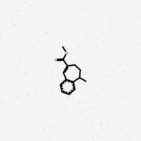 COC(=O)C1=Cc2ccccc2C(C)CC1